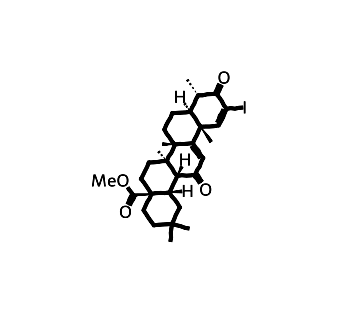 COC(=O)[C@]12CCC(C)(C)C[C@H]1[C@H]1C(=O)C=C3[C@@]4(C)C=C(I)C(=O)[C@@H](C)[C@@H]4CC[C@@]3(C)[C@]1(C)CC2